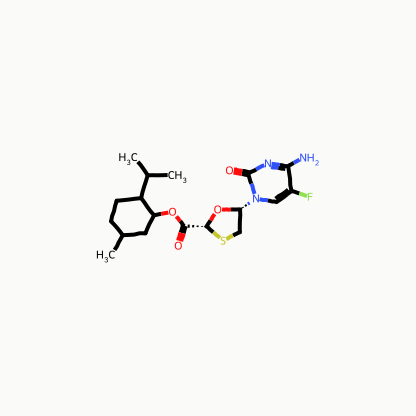 CC1CCC(C(C)C)C(OC(=O)[C@@H]2O[C@H](n3cc(F)c(N)nc3=O)CS2)C1